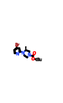 C[C@H]1CN(C(=O)OC(C)(C)C)CCN1c1cc(Br)ccn1